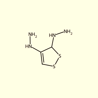 NNC1=CSSC1NN